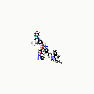 CN1CCN(c2ccc(-c3ccc(C(=O)NS(=O)(=O)c4ccc(NCC5(F)CCOCC5)c([N+](=O)[O-])c4)c(N4CCOc5nc6[nH]ccc6cc54)c3)cc2)C(c2ccccc2C2CC2)C1